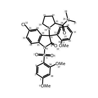 COc1ccc(S(=O)(=O)N2C(=O)C(c3ccccc3OC)(N3CCCC3C(=O)N(C)C)c3cc(Cl)ccc32)c(OC)c1